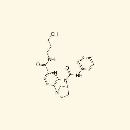 O=C(NCCCO)c1ccc2c(n1)N(C(=O)Nc1ccccn1)C1CCN2C1